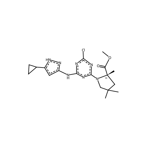 COC(=O)[C@]1(C)CC(C)(C)CN1c1nc(Cl)nc(Nc2cc(C3CC3)[nH]n2)n1